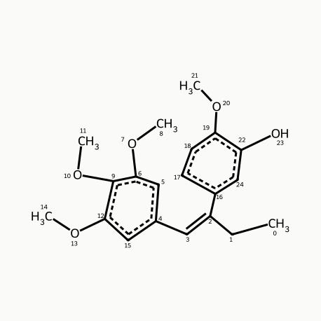 CC/C(=C/c1cc(OC)c(OC)c(OC)c1)c1ccc(OC)c(O)c1